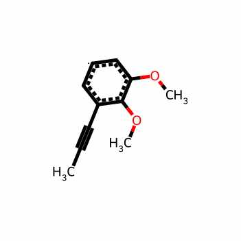 CC#Cc1c[c]cc(OC)c1OC